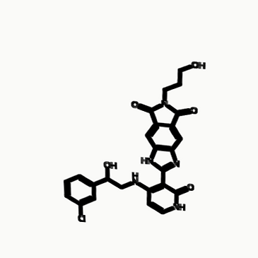 O=C1c2cc3nc(-c4c(NCC(O)c5cccc(Cl)c5)cc[nH]c4=O)[nH]c3cc2C(=O)N1CCCO